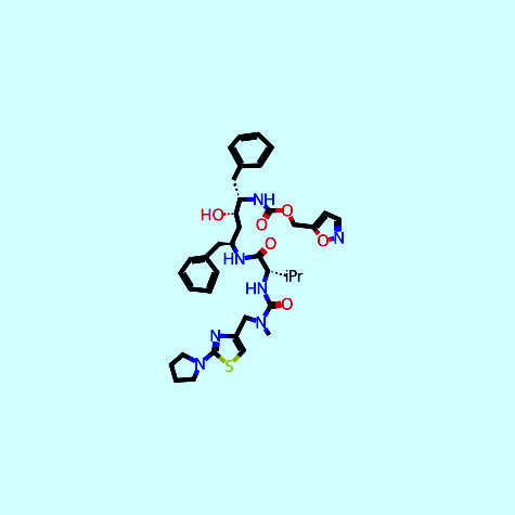 CC(C)[C@H](NC(=O)N(C)Cc1csc(N2CCCC2)n1)C(=O)N[C@@H](Cc1ccccc1)C[C@H](O)[C@H](Cc1ccccc1)NC(=O)OCc1ccno1